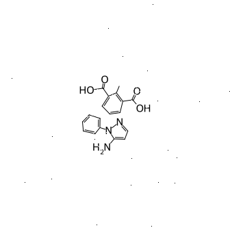 Cc1c(C(=O)O)cccc1C(=O)O.Nc1ccnn1-c1ccccc1